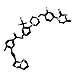 Cc1ccc(C(=O)Nc2ccc(N3CCN(Cc4ccc(N5CCC(=O)NC5=O)cc4F)CC3)c(C(F)(F)F)c2)cc1C#Cc1cnc2cccnn12